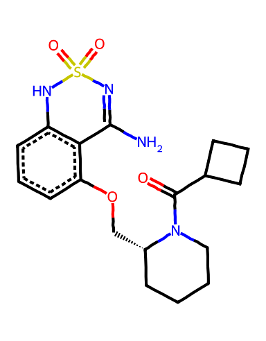 NC1=NS(=O)(=O)Nc2cccc(OC[C@H]3CCCCN3C(=O)C3CCC3)c21